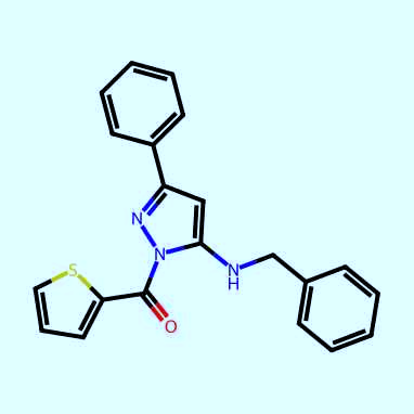 O=C(c1cccs1)n1nc(-c2ccccc2)cc1NCc1ccccc1